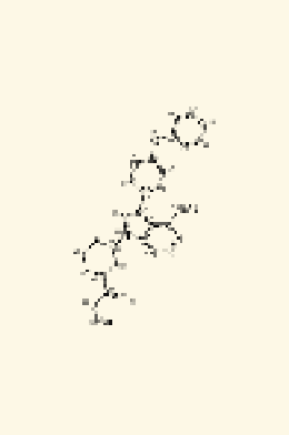 CNc1ncnc2c1c(-c1ccc(Oc3ccccc3)nc1)nn2[C@@H]1CCCN(C(=O)OC(C)(C)C)C1